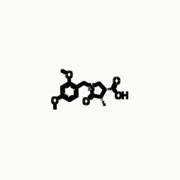 COc1ccc(CN2C[C@H](C(=O)O)[C@H](C)C2=O)c(OC)c1